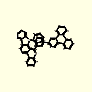 c1ccc(-n2c3ccccc3c3ccc4c5ccccc5nc(-c5cccc(-c6ccc7c8ccccc8c8ccccc8c7c6)c5)c4c32)cc1